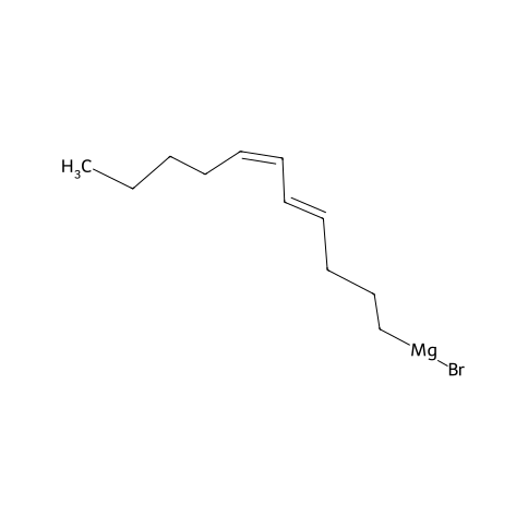 CCCC/C=C\C=C\CC[CH2][Mg][Br]